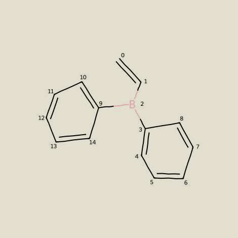 C=CB(c1ccccc1)c1ccccc1